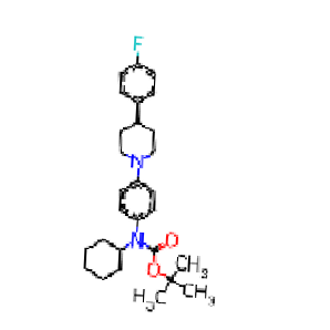 CC(C)(C)OC(=O)N(c1ccc(N2CCC(c3ccc(F)cc3)CC2)cc1)C1CCCCC1